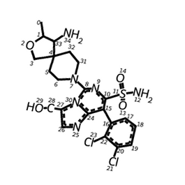 CC1OCC2(CCN(c3nc(S(N)(=O)=O)c(-c4cccc(Cl)c4Cl)c4ncc(CO)n34)CC2)C1N